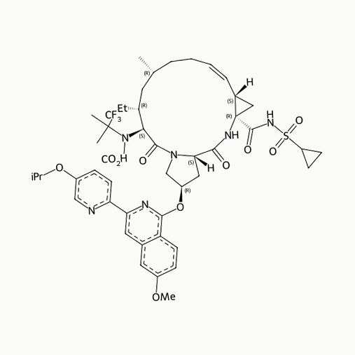 CC[C@@H]1C[C@H](C)CCC=C[C@@H]2C[C@@]2(C(=O)NS(=O)(=O)C2CC2)NC(=O)[C@@H]2C[C@@H](Oc3nc(-c4ccc(OC(C)C)cn4)cc4cc(OC)ccc34)CN2C(=O)[C@H]1N(C(=O)O)C(C)(C)C(F)(F)F